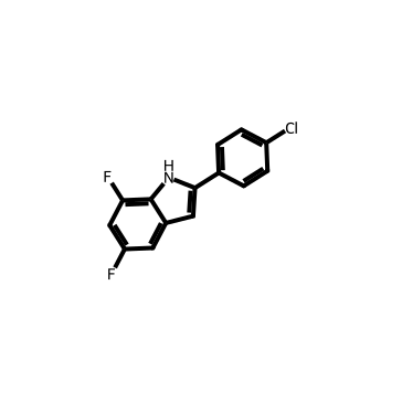 Fc1cc(F)c2[nH]c(-c3ccc(Cl)cc3)cc2c1